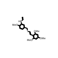 C=CNc1cc(CS/C=C/c2c(OC)cc(OC)cc2OC)ccc1OC